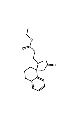 CCOC(=O)CCN(C)[C@]1(CC(C)=O)CCCc2ccccc21